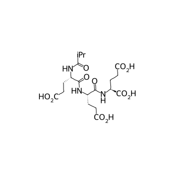 CC(C)C(=O)N[C@@H](CCC(=O)O)C(=O)N[C@@H](CCC(=O)O)C(=O)N[C@@H](CCC(=O)O)C(=O)O